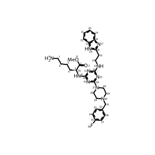 COC(=O)[C@H](CCCCN)Nc1nc(NCCc2nc3ccccc3[nH]2)nc(N2CCN(Cc3ccc(F)cc3)CC2)n1